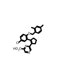 Cc1ccc(COc2ccc(Cl)cc2C2=C(c3cncc(C(=O)O)n3)CCC2)c(C)c1